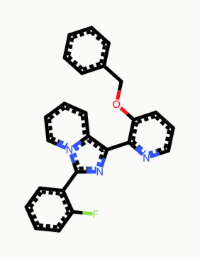 Fc1ccccc1-c1nc(-c2ncccc2OCc2ccccc2)c2ccccn12